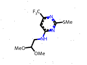 COC(CNc1cc(C(F)(F)F)nc(SC)n1)OC